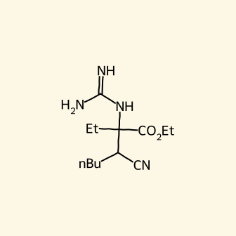 CCCCC(C#N)C(CC)(NC(=N)N)C(=O)OCC